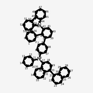 c1ccc(-c2c(-c3ccc(N(c4ccccc4)c4ccc(-c5cccc6ccccc56)c5ccccc45)cc3)cccc2-n2c3ccccc3c3ccccc32)cc1